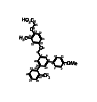 COc1ccc(-c2cc(COc3ccc(OCC(=O)O)c(C)c3)cc(-c3ccccc3C(F)(F)F)c2)cc1